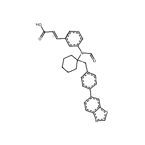 O=CN(c1cccc(/C=C/C(=O)O)c1)C1(Cc2ccc(-c3ccc4ncsc4c3)cc2)CCCCC1